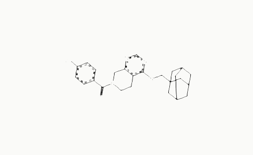 O=C(c1ccc(C(F)(F)F)cc1)N1CCc2c(ncnc2NCC23CC4CC(CC(C4)C2)C3)C1